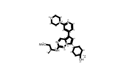 COC[C@H](C)Nc1ncc2c(-c3ccnc(N4CCOCC4)c3)cc([C@H]3CC[C@](C)(O)CC3)n2n1